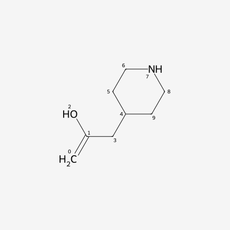 C=C(O)CC1CCNCC1